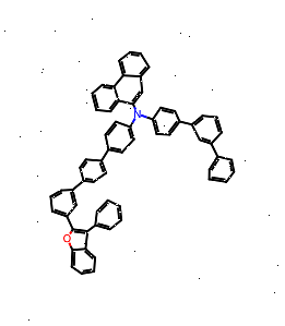 c1ccc(-c2cccc(-c3ccc(N(c4ccc(-c5ccc(-c6cccc(-c7oc8ccccc8c7-c7ccccc7)c6)cc5)cc4)c4cc5ccccc5c5ccccc45)cc3)c2)cc1